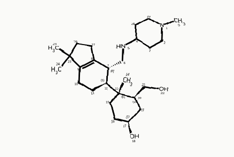 CN1CCC(NC[C@H]2C3=C(CC[C@@H]2[C@@]2(C)CC[C@H](O)C[C@@H]2CO)C(C)(C)CC3)CC1